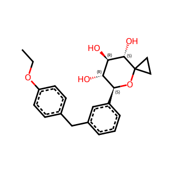 CCOc1ccc(Cc2cccc([C@@H]3OC4(CC4)[C@@H](O)[C@H](O)[C@H]3O)c2)cc1